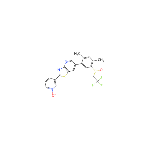 Cc1cc(C)c([S+]([O-])CC(F)(F)F)cc1-c1cnc2nc(-c3ccc[n+]([O-])c3)sc2c1